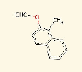 Cc1c(O[C]=O)ccc2ccccc12